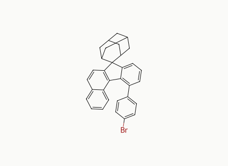 Brc1ccc(-c2cccc3c2-c2c(ccc4ccccc24)C32C3CC4CC(C3)CC2C4)cc1